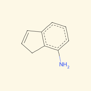 Nc1cccc2c1CC=C2